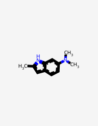 Cc1cc2ccc(N(C)C)cc2[nH]1